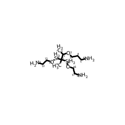 [CH2]C(OCCCN)C(C)([SiH2]OCCN)[SiH2]OCCN